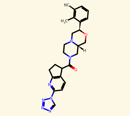 Cc1c(C#N)cccc1[C@@H]1CN2CCN(C(=O)C3CCc4nc(-n5cnnn5)ccc43)C[C@H]2CO1